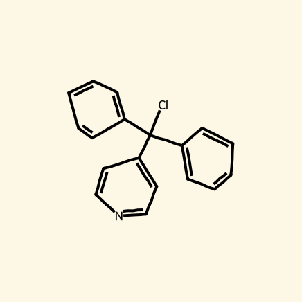 ClC(c1ccccc1)(c1ccccc1)c1ccncc1